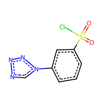 O=S(=O)(Cl)c1cccc(-n2cnnn2)c1